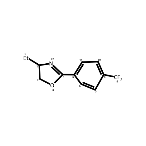 [CH2]CC1COC(c2ccc(C(F)(F)F)cc2)=N1